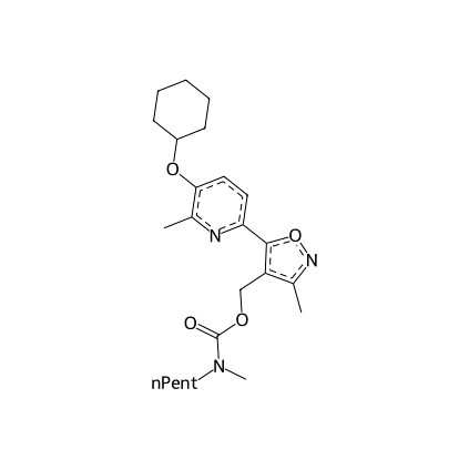 CCCCCN(C)C(=O)OCc1c(C)noc1-c1ccc(OC2CCCCC2)c(C)n1